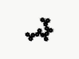 c1ccc(-n2c3ccccc3c3cc(-c4ccc5c(c4)c4ccccc4n5-c4ccc5c(c4)c4cc(-n6c7ccccc7c7cc(-c8ccc9c(c8)c8ccccc8n9-c8ccccc8)ccc76)ccc4n5-c4ccccc4)ccc32)cc1